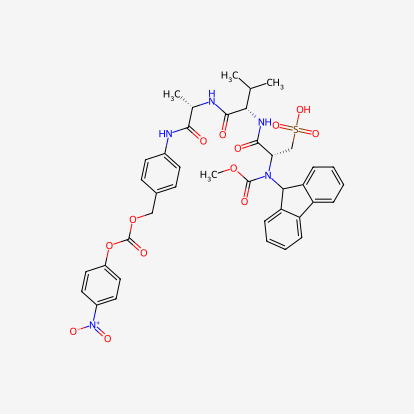 COC(=O)N(C1c2ccccc2-c2ccccc21)[C@@H](CS(=O)(=O)O)C(=O)N[C@H](C(=O)N[C@@H](C)C(=O)Nc1ccc(COC(=O)Oc2ccc([N+](=O)[O-])cc2)cc1)C(C)C